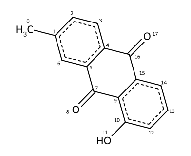 Cc1ccc2c(c1)C(=O)c1c(O)cccc1C2=O